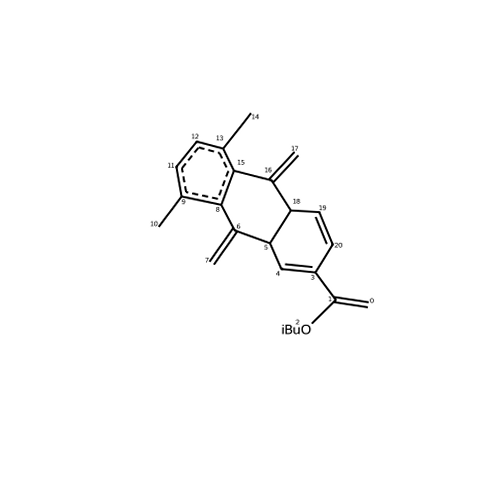 C=C(OCC(C)C)C1=CC2C(=C)c3c(C)ccc(C)c3C(=C)C2C=C1